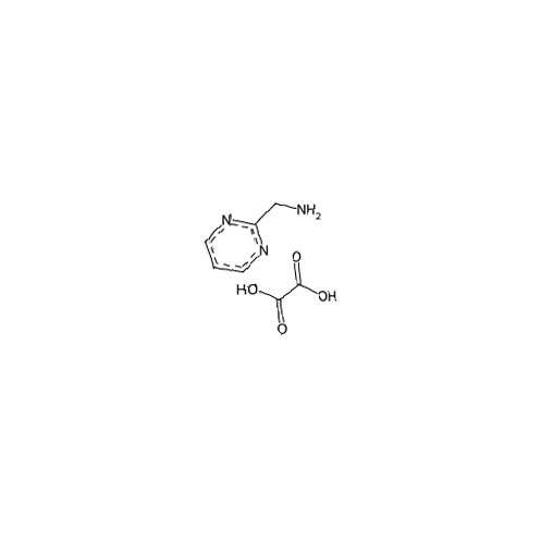 NCc1ncccn1.O=C(O)C(=O)O